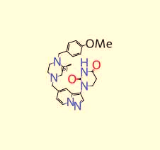 COc1ccc(CN2CCN(Cc3ccn4ncc(N5CCC(=O)NC5=O)c4c3)C[C@@H]2C)cc1